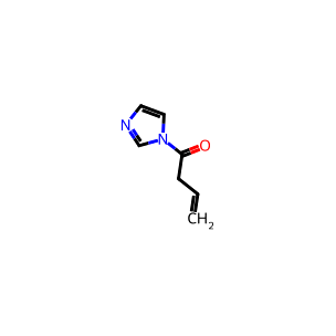 C=CCC(=O)n1ccnc1